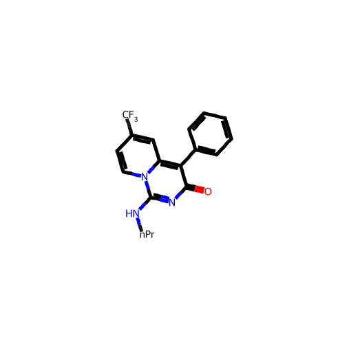 CCCNc1nc(=O)c(-c2ccccc2)c2cc(C(F)(F)F)ccn12